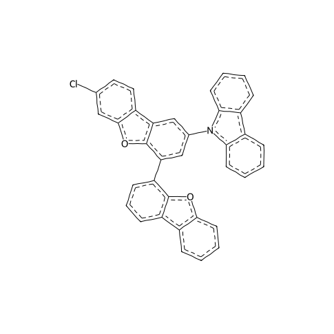 Clc1ccc2c(c1)oc1c(-c3cccc4c3oc3ccccc34)cc(-n3c4ccccc4c4ccccc43)cc12